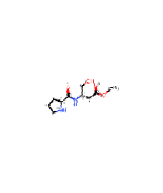 COC(=O)C[C@H](CO)NC(=O)[C@@H]1CCCN1